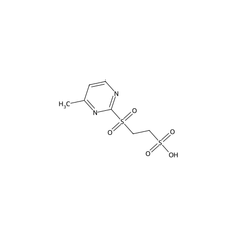 Cc1c[c]nc(S(=O)(=O)CCS(=O)(=O)O)n1